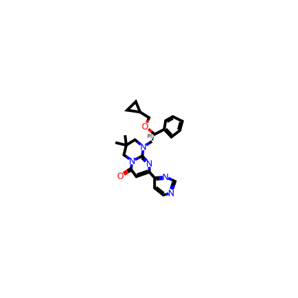 CC1(C)CN(C[C@H](OCC2CC2)c2ccccc2)c2nc(-c3ccncn3)cc(=O)n2C1